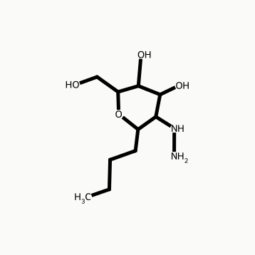 CCCCC1OC(CO)C(O)C(O)C1NN